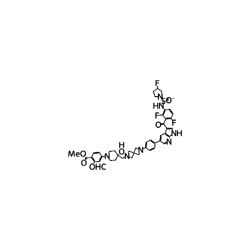 COC(=O)c1ccc(N2CCC(O)(CN3CC4(C3)CN(c3ccc(-c5cnc6[nH]cc(C(=O)c7c(F)ccc(N[S+]([O-])N8CCC(F)C8)c7F)c6c5)cc3)C4)CC2)cc1C=O